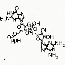 Nc1nc(N)c2ncn([C@@H]3O[C@H](COP(=O)(O)O[C@@H]4[C@H](O)[C@@H](CO[PH](=O)O)O[C@H]4n4cnc5c(=O)[nH]c(N)nc54)[C@@H](O)[C@H]3O)c2n1